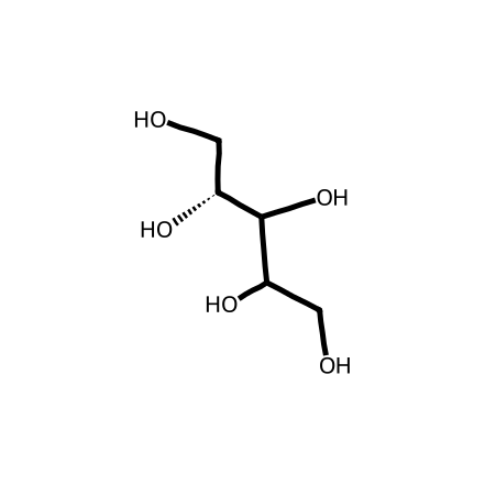 OCC(O)C(O)[C@H](O)CO